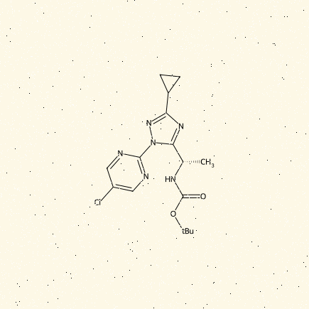 C[C@H](NC(=O)OC(C)(C)C)c1nc(C2CC2)nn1-c1ncc(Cl)cn1